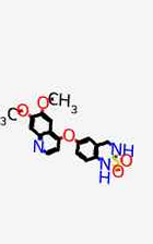 COc1cc2nccc(Oc3ccc4c(c3)CNS(=O)(=O)N4)c2cc1OC